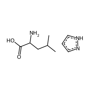 CC(C)CC(N)C(=O)O.c1cn[nH]c1